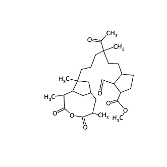 COC(=O)C1CCC(CCC(C)(CCCC2(C)CC3CC(C)C(=O)OC(=O)C(C)C2C3)C(C)=O)C1C=O